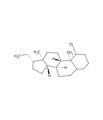 CC[C@H]1CC[C@H]2[C@@H]3CCC4CCCC(Cl)[C@]4(C)[C@H]3CC[C@]12C